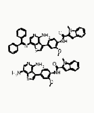 COc1cc(-c2csc3c(N)cnc(N)c23)ccc1NC(=O)c1cc2ccccc2n1C.COc1cc(-c2csc3c(N=C(c4ccccc4)c4ccccc4)cnc(N)c23)ccc1NC(=O)c1cc2ccccc2n1C